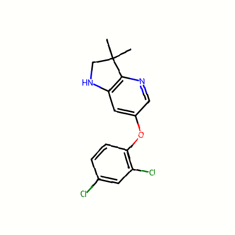 CC1(C)CNc2cc(Oc3ccc(Cl)cc3Cl)cnc21